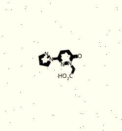 O=C(O)Cn1nc(-n2cccn2)ccc1=O